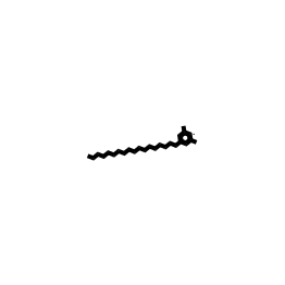 CCCCCCCCCCCCCCCCCCc1cc(C)[c]c(C)c1